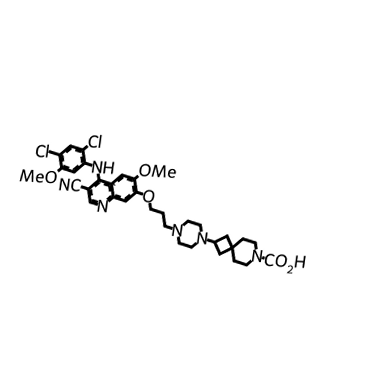 COc1cc(Nc2c(C#N)cnc3cc(OCCCN4CCN(C5CC6(CCN(C(=O)O)CC6)C5)CC4)c(OC)cc23)c(Cl)cc1Cl